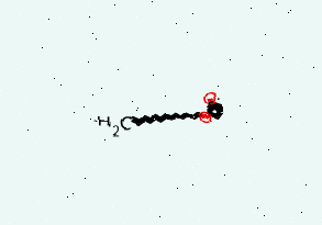 [CH2]CCCCCCCCCCCCCOC1CC2CC([O])C1C2